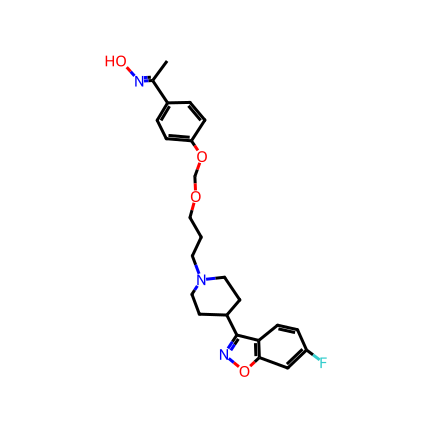 CC(=NO)c1ccc(OCOCCCN2CCC(c3noc4cc(F)ccc34)CC2)cc1